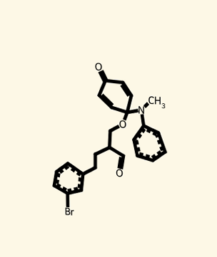 CN(c1ccccc1)C1(OCC(C=O)CCc2cccc(Br)c2)C=CC(=O)C=C1